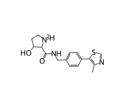 [2H]N1CCC(O)C1C(=O)NCc1ccc(-c2scnc2C)cc1